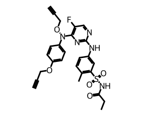 C#CCOc1ccc(N(OCC#C)c2nc(Nc3ccc(C)c(S(=O)(=O)NC(=O)CC)c3)ncc2F)cc1